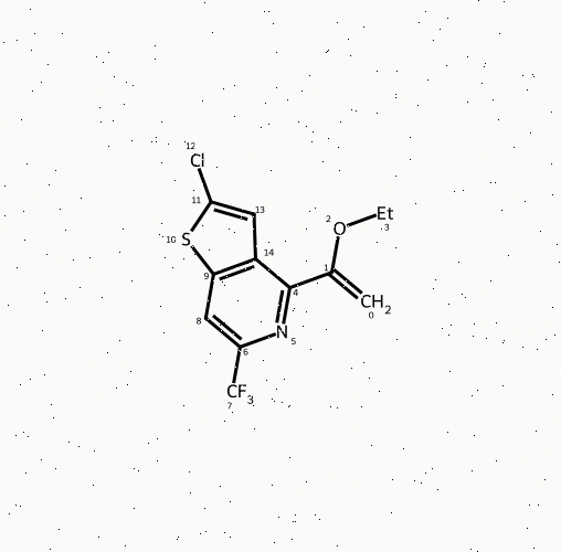 C=C(OCC)c1nc(C(F)(F)F)cc2sc(Cl)cc12